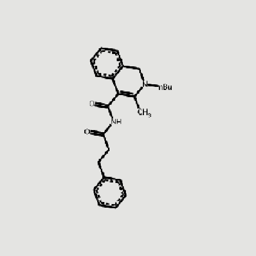 CCCCN1Cc2ccccc2C(C(=O)NC(=O)CCc2ccccc2)=C1C